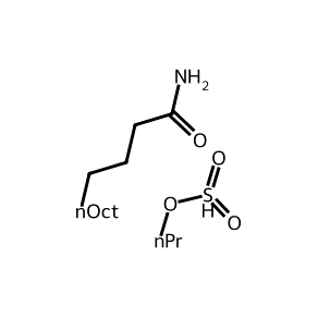 CCCCCCCCCCCC(N)=O.CCCO[SH](=O)=O